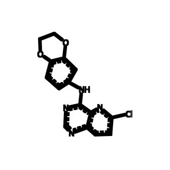 Clc1ccc2ncnc(Nc3ccc4c(c3)OCCO4)c2n1